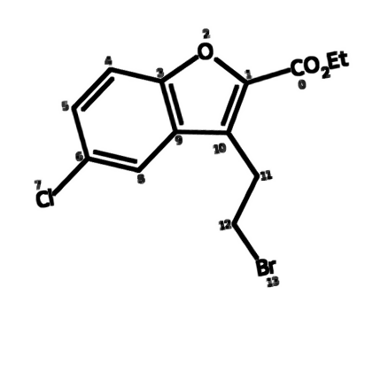 CCOC(=O)c1oc2ccc(Cl)cc2c1CCBr